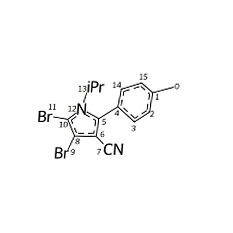 Cc1ccc(-c2c(C#N)c(Br)c(Br)n2C(C)C)cc1